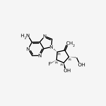 C=C1[C@@H](n2cnc3c(N)ncnc32)[C@@H](F)[C@H](O)[C@H]1CO